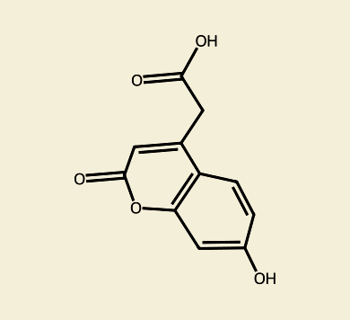 O=C(O)Cc1cc(=O)oc2cc(O)ccc12